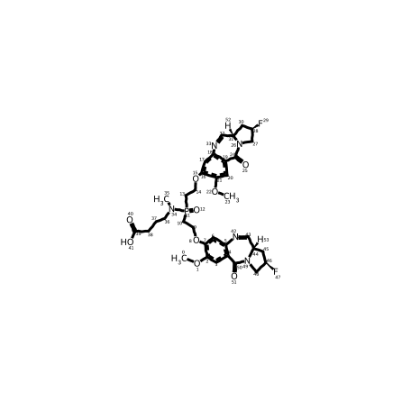 COc1cc2c(cc1OCCP(=O)(CCOc1cc3c(cc1OC)C(=O)N1C[C@H](F)C[C@H]1C=N3)N(C)CCCC(=O)O)N=C[C@@H]1C[C@@H](F)CN1C2=O